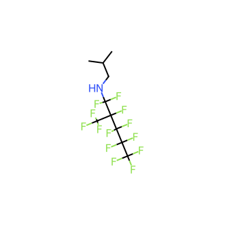 CC(C)CNC(F)(F)C(F)(C(F)(F)F)C(F)(F)C(F)(F)C(F)(F)F